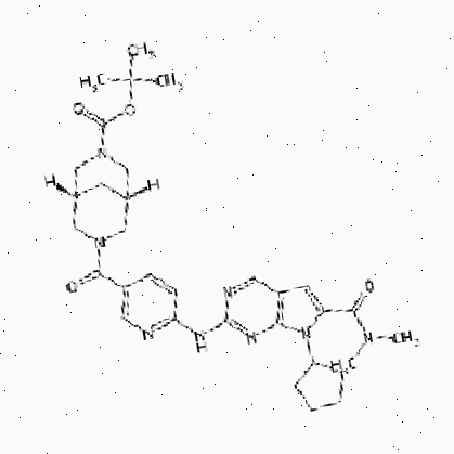 CN(C)C(=O)c1cc2cnc(Nc3ccc(C(=O)N4C[C@@H]5C[C@@H](CN(C(=O)OC(C)(C)C)C5)C4)cn3)nc2n1C1CCCC1